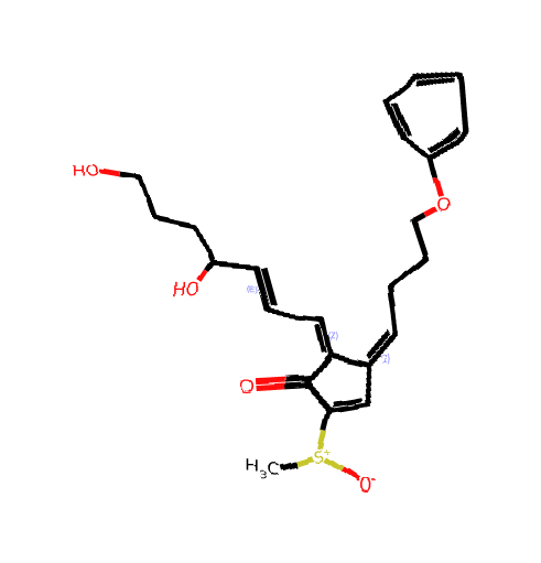 C[S+]([O-])C1=CC(=C/CCCOc2ccccc2)/C(=C/C=C/C(O)CCCO)C1=O